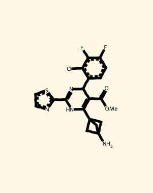 COC(=O)C1=C(C23CC(N)(C2)C3)NC(c2nccs2)=NC1c1ccc(F)c(F)c1Cl